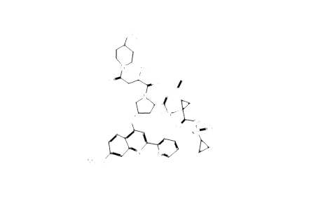 C=C[C@@H]1C[C@]1(NC(=O)[C@@H]1C[C@@H](Oc2cc(-c3ccccn3)nc3cc(OC)ccc23)CN1C(=O)[C@@H](CC(=O)N1CCC(C(F)(F)F)CC1)C(C)(C)C)C(=O)NS(=O)(=O)C1CC1